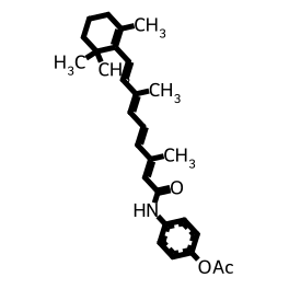 CC(=O)Oc1ccc(NC(=O)/C=C(C)/C=C/C=C(C)/C=C/C2=C(C)CCCC2(C)C)cc1